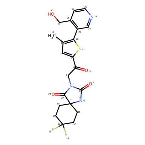 Cc1cc(C(=O)CN2C(=O)NC3(CCC(F)(F)CC3)C2=O)sc1-c1cnccc1CO